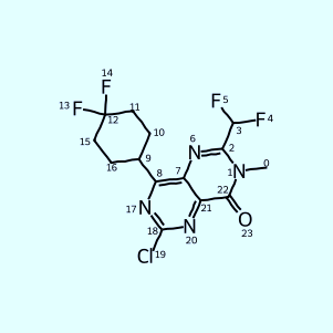 Cn1c(C(F)F)nc2c(C3CCC(F)(F)CC3)nc(Cl)nc2c1=O